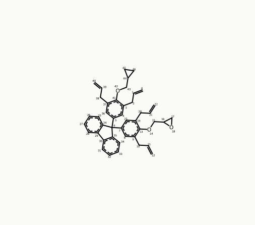 C=CCc1cc(C2(c3cc(CC=C)c(OCC4CO4)c(CC=C)c3)c3ccccc3-c3ccccc32)cc(CC=C)c1OCC1CC1